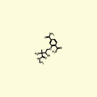 CC(N)(C(=O)NN)C(S)COc1cc(C(N)=O)ccc1C(N)=O